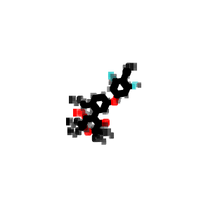 C#Cc1c(F)cc(Oc2ccc(CC)c(C3=C(O)C(C)(C)OC(C)(C)C3=O)c2)cc1F